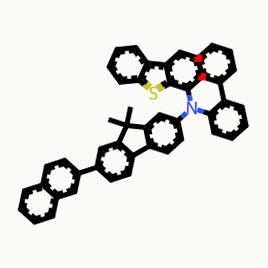 CC1(C)c2cc(-c3ccc4ccccc4c3)ccc2-c2ccc(N(c3ccccc3-c3ccccc3)c3cccc4c3sc3ccccc34)cc21